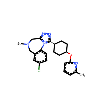 CCN1Cc2cc(Cl)ccc2-n2c(nnc2[C@H]2CC[C@H](Oc3cccc(C)n3)CC2)C1